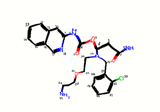 [NH]C(=O)CC(OC(=O)Nc1cc2ccccc2cn1)N(CCOCCN)Cc1ccccc1Cl